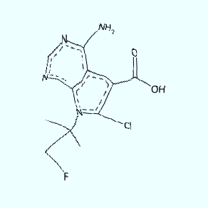 CC(C)(CF)n1c(Cl)c(C(=O)O)c2c(N)ncnc21